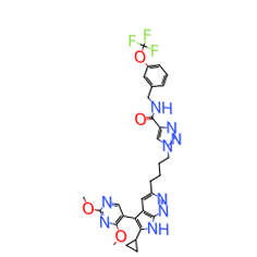 COc1ncc(-c2c(C3CC3)[nH]c3nnc(CCCCn4cc(C(=O)NCc5cccc(OC(F)(F)F)c5)nn4)cc23)c(OC)n1